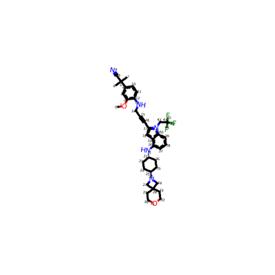 COc1cc(C(C)(C)C#N)ccc1NCC#Cc1cc2c(N[C@H]3CC[C@H](N4CC5(CCOCC5)C4)CC3)cccc2n1CC(F)(F)F